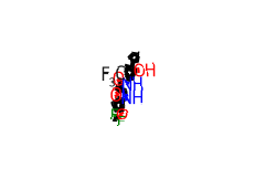 CC(F)(F)Oc1ccc2c(c1)NCC(C)(C(=O)Nc1cc(O)c(C3CCCC3)cc1C(F)(F)F)O2